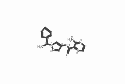 CC(c1ccccc1)n1cc(NC(=O)c2nccnc2N)cn1